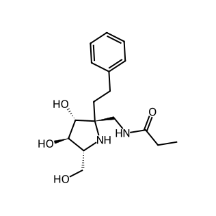 CCC(=O)NC[C@@]1(CCc2ccccc2)N[C@H](CO)[C@@H](O)[C@@H]1O